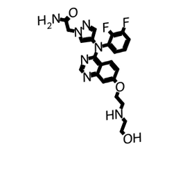 NC(=O)Cn1cc(N(c2cccc(F)c2F)c2ncnc3cc(OCCNCCO)ccc23)cn1